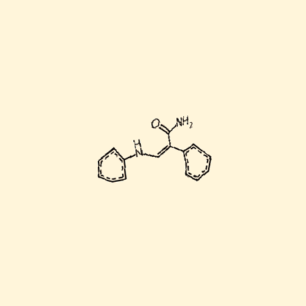 NC(=O)C(=CNc1ccccc1)c1ccccc1